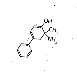 CC1(N)CC(c2ccccc2)=CC=C1O